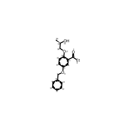 CCC(=O)c1cc(OCc2ccccc2)ccc1OC[C@@H](C)O